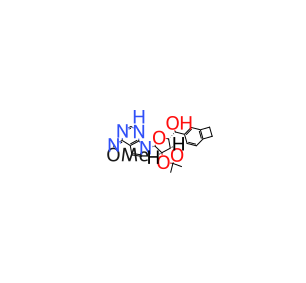 CO/N=c1/nc[nH]c2c1ccn2[C@@H]1O[C@H](C(O)c2ccc3c(c2)CC3)[C@H]2OC(C)(C)O[C@H]21